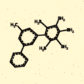 Bc1c(B)c(B)c(-c2cc(C)cc(-c3ccccc3)c2)c(B)c1B